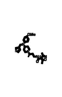 COc1ccc(N(Cc2ccsc2)C2CCN([C@H](C)CCNC(=O)c3c(C)noc3C)CC2)cc1